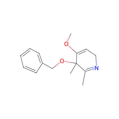 COC1=CCN=C(C)C1(C)OCc1ccccc1